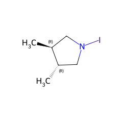 C[C@H]1CN(I)C[C@@H]1C